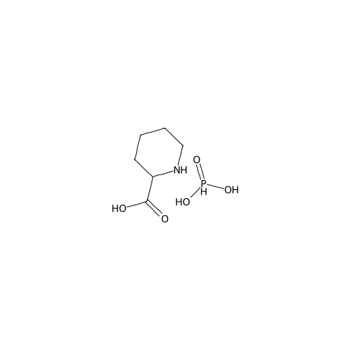 O=C(O)C1CCCCN1.O=[PH](O)O